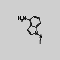 Nc1cccc2c1ccn2SI